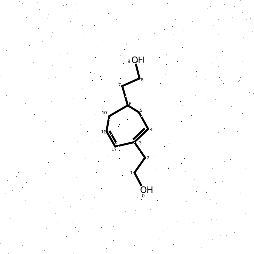 OCCC1=CCC(CCO)CC=C1